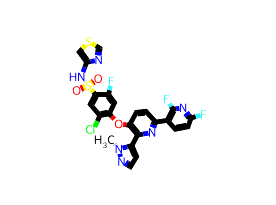 Cn1nccc1-c1nc(-c2ccc(F)nc2F)ccc1Oc1cc(F)c(S(=O)(=O)Nc2cscn2)cc1Cl